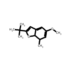 COC1=CC(C)C2OC(C(C)(C)C)=CC2=C1